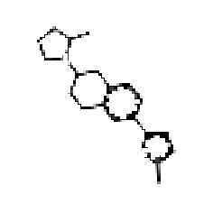 Cc1ccc(-c2ccc3c(c2)CCC(N2CCCC2C)C3)o1